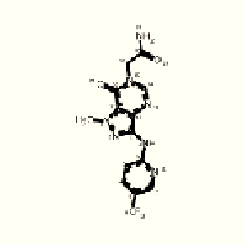 Cn1nc(Nc2ccc(C(F)(F)F)cn2)c2ncn(CC(N)=O)c(=O)c21